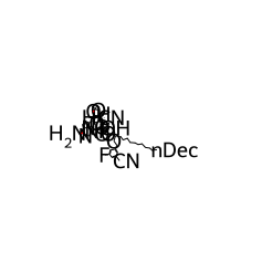 CCCCCCCCCCCCCCCCCCCC[C@H](COP(=O)(O)OC[C@@]1(C#N)O[C@@H](c2ccc3c(N)ncnn23)[C@@H]2OC(C)(C)O[C@@H]21)OCc1cc(F)cc(C#N)c1